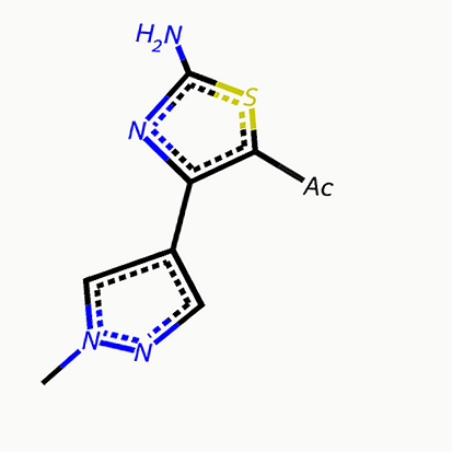 CC(=O)c1sc(N)nc1-c1cnn(C)c1